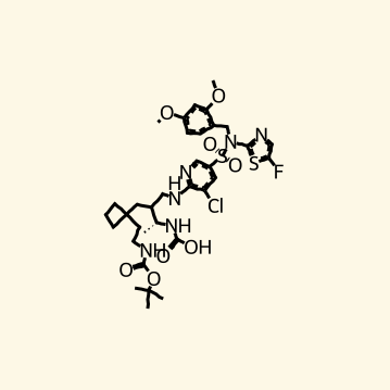 COc1ccc(CN(c2ncc(F)s2)S(=O)(=O)c2cnc(NCC(CC3(CCNC(=O)OC(C)(C)C)CCC3)[C@@H](C)NC(=O)O)c(Cl)c2)c(OC)c1